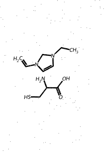 C=CN1C=CN(CC)C1.NC(CS)C(=O)O